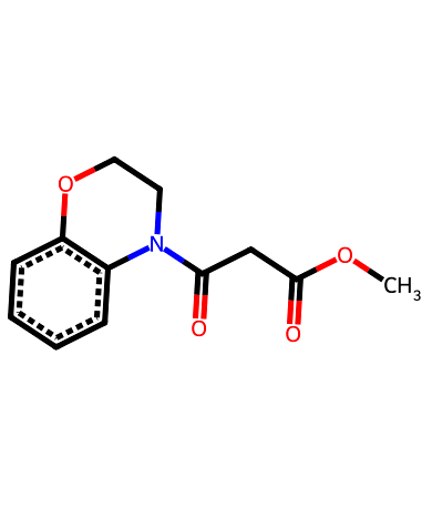 COC(=O)CC(=O)N1CCOc2ccccc21